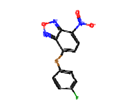 O=[N+]([O-])c1ccc(Sc2ccc(F)cc2)c2nonc12